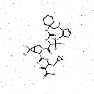 Cc1occc1[S+]([O-])CC1(NC(=O)N[C@H](C(=O)N2CC3[C@@H]([C@H]2C(=O)NC(CC2CC2)C(=O)C(N)=O)C3(C)C)C(C)(C)C)CCCCC1